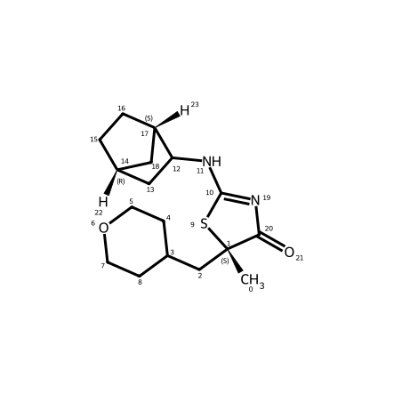 C[C@@]1(CC2CCOCC2)SC(NC2C[C@@H]3CC[C@H]2C3)=NC1=O